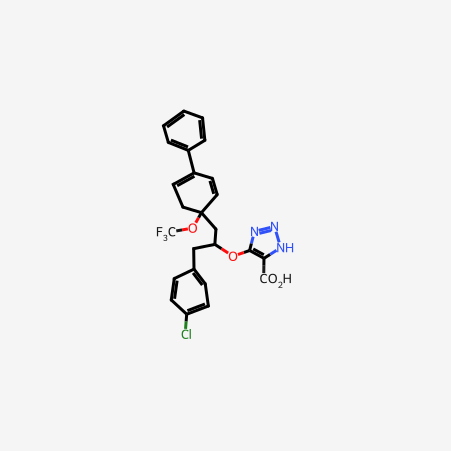 O=C(O)c1[nH]nnc1OC(Cc1ccc(Cl)cc1)CC1(OC(F)(F)F)C=CC(c2ccccc2)=CC1